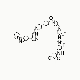 Cn1c(CN2CCC(c3ccc(C(=O)N4CCC(CN5CCC(N6CCN(c7ccc(NC8CCC(=O)NC8=O)cc7F)CC6)C(F)(F)C5)CC4)cc3)CC2)cc2c(-c3ccc4c(cnn4C4CCCCO4)c3)ccnc21